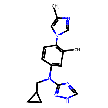 Cc1cn(-c2ccc(N(CC3CC3)c3nc[nH]n3)cc2C#N)cn1